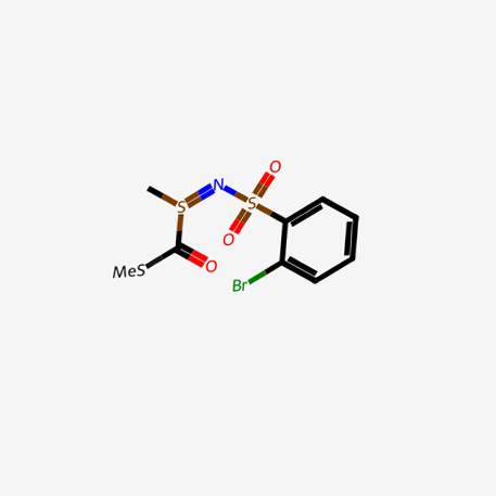 CSC(=O)S(C)=NS(=O)(=O)c1ccccc1Br